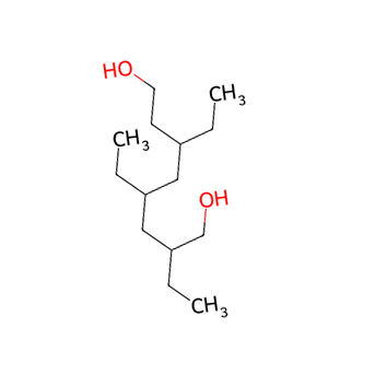 CCC(CO)CC(CC)CC(CC)CCO